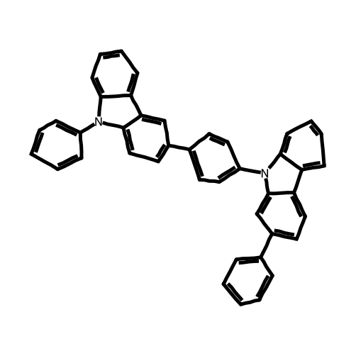 c1ccc(-c2ccc3c4ccccc4n(-c4ccc(-c5ccc6c(c5)c5ccccc5n6-c5ccccc5)cc4)c3c2)cc1